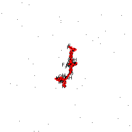 Cc1cc([C@@H](C(=O)N2C[C@H](O)C[C@H]2C(=O)N[C@@H](CC(=O)NCCCCCC(=O)N2CCN(CC[C@H](CSc3ccccc3)Nc3ccc(S(=O)(=O)NC(=O)c4ccc(N5CCN(CC6=C(C78CC(C(F)F)(C7)C8)CC(C)(C)CC6)CC5)cc4)cc3S(=O)(=O)C(F)(F)F)CC2)c2ccc(-c3scnc3C)cc2)C(C)C)on1